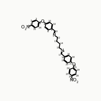 O=[N+]([O-])c1ccc(Oc2ccc(C=NCCCCN=Cc3ccc(Oc4ccc([N+](=O)[O-])cc4)cc3)cc2)cc1